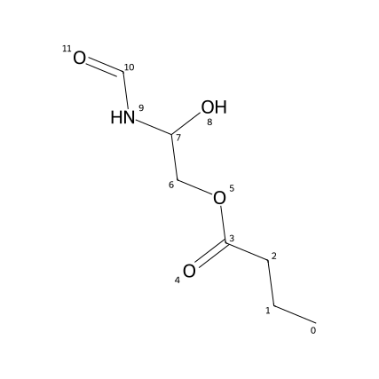 CCCC(=O)OCC(O)NC=O